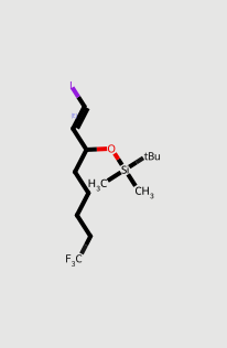 CC(C)(C)[Si](C)(C)OC(/C=C/I)CCCCC(F)(F)F